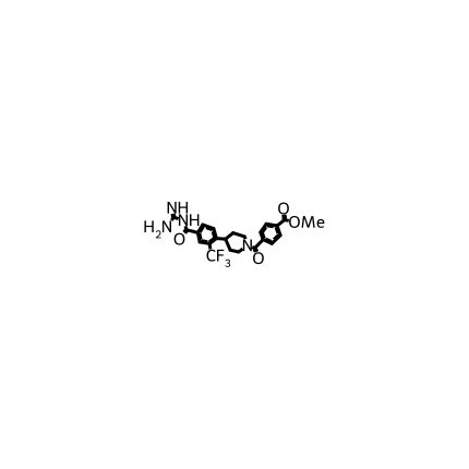 COC(=O)c1ccc(C(=O)N2CCC(c3ccc(C(=O)NC(=N)N)cc3C(F)(F)F)CC2)cc1